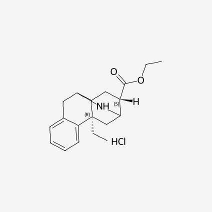 CCOC(=O)[C@H]1CC2C3Cc4ccccc4[C@]2(CC)CC1N3.Cl